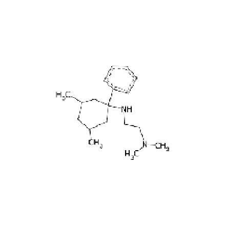 CC1CC(C)CC(NCCN(C)C)(c2ccccc2)C1